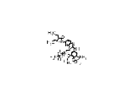 CCCC(CCC)C(=O)Nc1ccc2nc(Nc3cc(OC)c(OC)c(OC)c3)n(CCNC(=O)OC(C)(C)C)c2n1